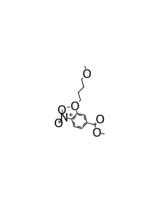 COCCCCOc1cc(C(=O)OC)ccc1[N+](=O)[O-]